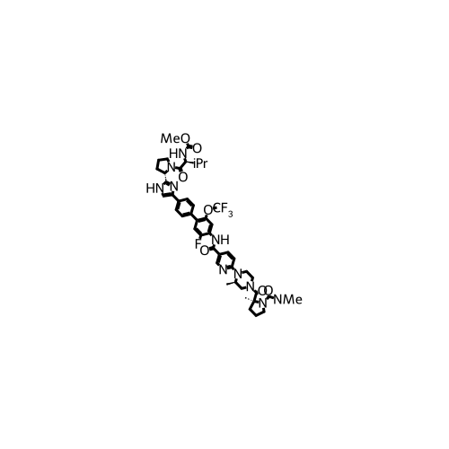 CNC(=O)N1CCC[C@@]1(C)C(=O)N1CCN(c2ccc(C(=O)Nc3cc(OC(F)(F)F)c(-c4ccc(-c5c[nH]c([C@@H]6CCCN6C(=O)[C@@H](NC(=O)OC)C(C)C)n5)cc4)cc3F)cn2)[C@H](C)C1